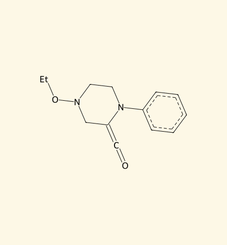 CCON1CCN(c2ccccc2)C(=C=O)C1